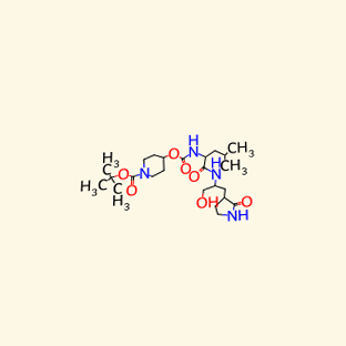 CC(C)CC(NC(=O)OC1CCN(C(=O)OC(C)(C)C)CC1)C(=O)NC(CO)CC1CCNC1=O